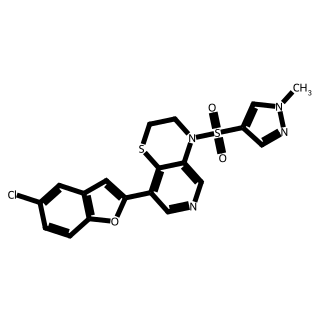 Cn1cc(S(=O)(=O)N2CCSc3c(-c4cc5cc(Cl)ccc5o4)cncc32)cn1